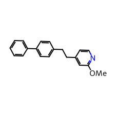 COc1cc(CCc2ccc(-c3ccccc3)cc2)ccn1